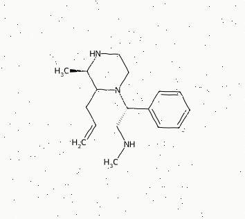 C=CCC1[C@@H](C)NCCN1[C@@H](CNC)c1ccccc1